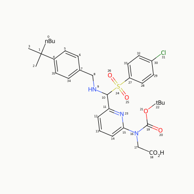 CCCCC(C)(C)c1ccc(CNC(c2cccc(N(CC(=O)O)C(=O)OC(C)(C)C)n2)S(=O)(=O)c2ccc(Cl)cc2)cc1